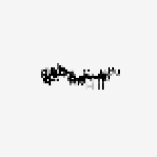 Cc1ccc(F)c(NC(=O)Nc2ccc(Oc3ccnc(-c4cc(C(=O)NCCCNC(=O)OC(C)(C)C)c[nH]4)c3)cc2F)c1